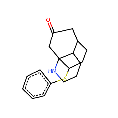 O=C1CC2CCC(Sc3ccccc3)C3(C1)NCCCC23